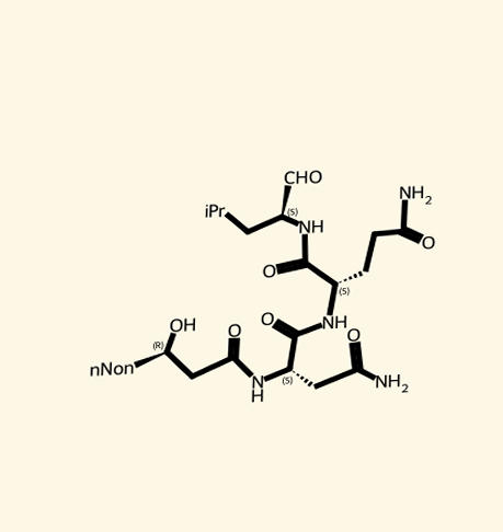 CCCCCCCCC[C@@H](O)CC(=O)N[C@@H](CC(N)=O)C(=O)N[C@@H](CCC(N)=O)C(=O)N[C@H](C=O)CC(C)C